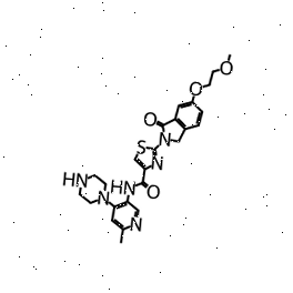 COCCOc1ccc2c(c1)C(=O)N(c1nc(C(=O)Nc3cnc(C)cc3N3CCNCC3)cs1)C2